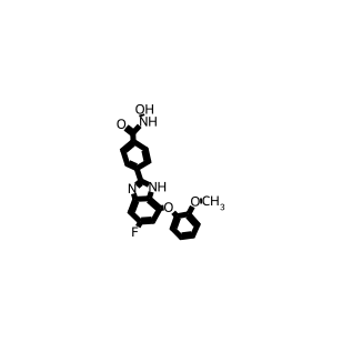 COc1ccccc1Oc1cc(F)cc2nc(-c3ccc(C(=O)NO)cc3)[nH]c12